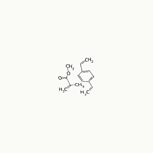 C=C(C)C(=O)OC.C=Cc1ccc(C=C)cc1